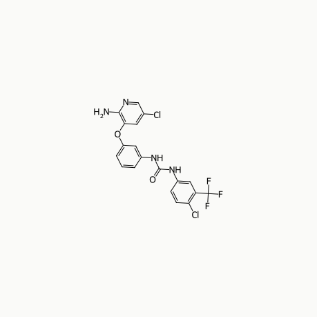 Nc1ncc(Cl)cc1Oc1cccc(NC(=O)Nc2ccc(Cl)c(C(F)(F)F)c2)c1